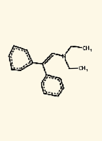 CCN(C=C(c1ccccc1)c1ccccc1)CC